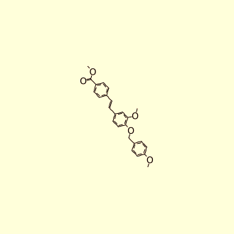 COC(=O)c1ccc(C=Cc2ccc(OCc3ccc(OC)cc3)c(OC)c2)cc1